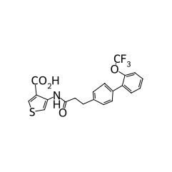 O=C(CCc1ccc(-c2ccccc2OC(F)(F)F)cc1)Nc1cscc1C(=O)O